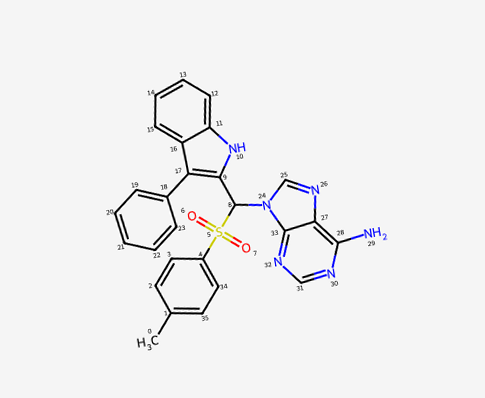 Cc1ccc(S(=O)(=O)C(c2[nH]c3ccccc3c2-c2ccccc2)n2cnc3c(N)ncnc32)cc1